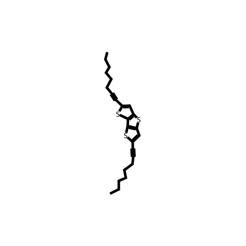 CCCCCCC#Cc1cc2sc3cc(C#CCCCCCC)sc3c2s1